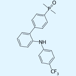 CP(C)(=O)c1ccc(-c2ccccc2Nc2ccc(C(F)(F)F)cc2)cc1